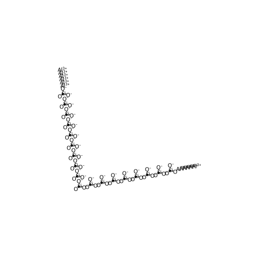 O=[Si]([O-])[O-].O=[Si]([O-])[O-].O=[Si]([O-])[O-].O=[Si]([O-])[O-].O=[Si]([O-])[O-].O=[Si]([O-])[O-].O=[Si]([O-])[O-].O=[Si]([O-])[O-].O=[Si]([O-])[O-].O=[Si]([O-])[O-].O=[Si]([O-])[O-].O=[Si]([O-])[O-].O=[Si]([O-])[O-].O=[Si]([O-])[O-].O=[Si]([O-])[O-].O=[Si]([O-])[O-].O=[Si]([O-])[O-].O=[Si]([O-])[O-].[Al+3].[Al+3].[Al+3].[Al+3].[Al+3].[Al+3].[Al+3].[Al+3].[Al+3].[Al+3].[Al+3].[Al+3]